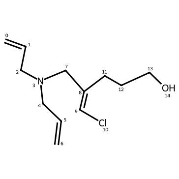 C=CCN(CC=C)CC(=CCl)CCCO